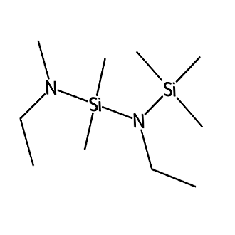 CCN(C)[Si](C)(C)N(CC)[Si](C)(C)C